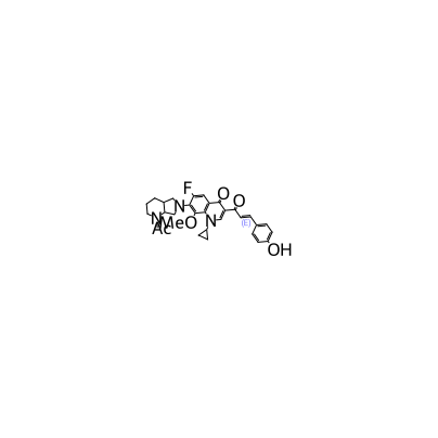 COc1c(N2CC3CCCN(C(C)=O)C3C2)c(F)cc2c(=O)c(C(=O)/C=C/c3ccc(O)cc3)cn(C3CC3)c12